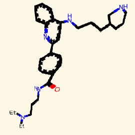 CCN(CC)CCCNC(=O)c1ccc(-c2cc(NCCCC3CCCNC3)c3ccccc3n2)cc1